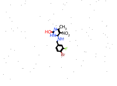 CC1=C([N+](=O)[O-])[C@@H](NCc2ccc(Br)c(F)c2)NC(O)=N1